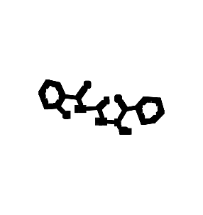 CC(C)(C)N(NC(=S)NC(=O)c1ccccc1Cl)C(=O)c1ccccc1